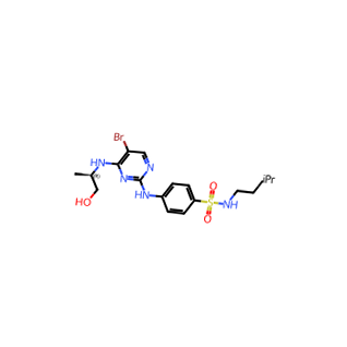 CC(C)CCNS(=O)(=O)c1ccc(Nc2ncc(Br)c(N[C@H](C)CO)n2)cc1